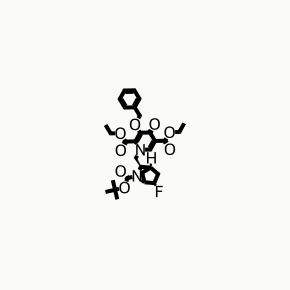 CCOC(=O)c1cn(C[C@H]2[C@H]3CC([C@H](F)C3)N2C(=O)OC(C)(C)C)c(C(=O)OCC)c(OCc2ccccc2)c1=O